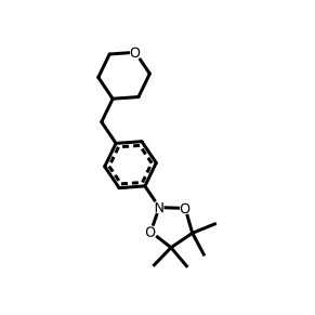 CC1(C)ON(c2ccc(CC3CCOCC3)cc2)OC1(C)C